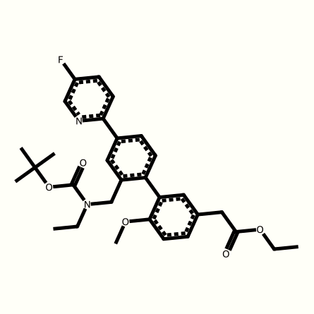 CCOC(=O)Cc1ccc(OC)c(-c2ccc(-c3ccc(F)cn3)cc2CN(CC)C(=O)OC(C)(C)C)c1